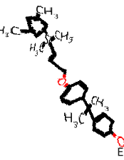 CCOC1C=CC(C(C)(C)C2C=CC(OCCC[Si](C)(C)c3cc(C)cc(C)c3)=CC2)=CC1